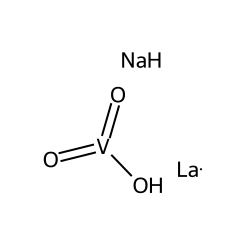 [La].[NaH].[O]=[V](=[O])[OH]